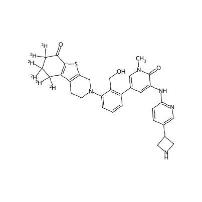 [2H]C1([2H])C(=O)c2sc3c(c2C([2H])([2H])C1([2H])[2H])CCN(c1cccc(-c2cc(Nc4ccc(C5CNC5)cn4)c(=O)n(C)c2)c1CO)C3